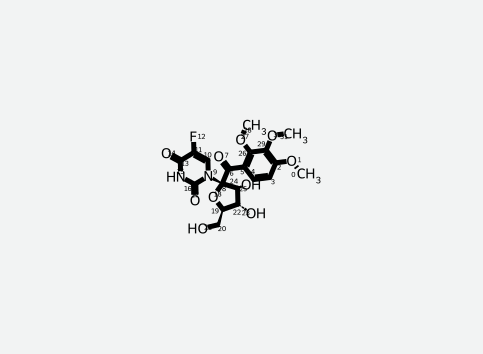 COc1ccc(C(=O)[C@@]2(n3cc(F)c(=O)[nH]c3=O)O[C@H](CO)[C@@H](O)[C@H]2O)c(OC)c1OC